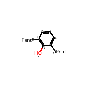 CCCC(C)c1cccc(C(C)CCC)c1O